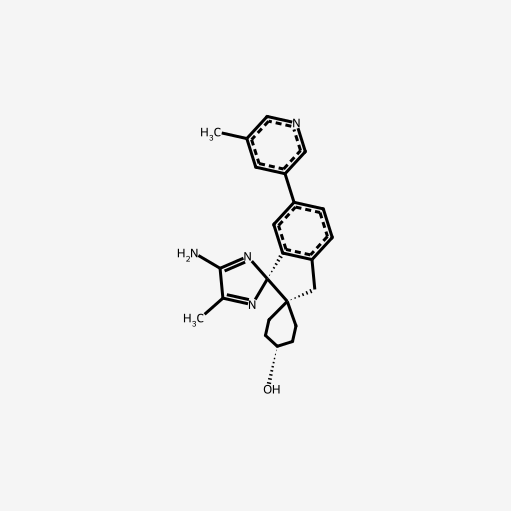 CC1=N[C@]2(N=C1N)c1cc(-c3cncc(C)c3)ccc1C[C@]21CC[C@@H](O)CC1